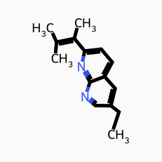 CCc1cnc2nc(C(C)=C(C)C)ccc2c1